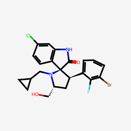 O=C1Nc2cc(Cl)ccc2[C@@]12[C@@H](c1cccc(Br)c1F)C[C@H](CO)N2CC1CC1